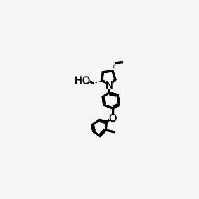 CC[C@H]1C[C@@H](CO)N(c2ccc(Oc3ccccc3C)cc2)C1